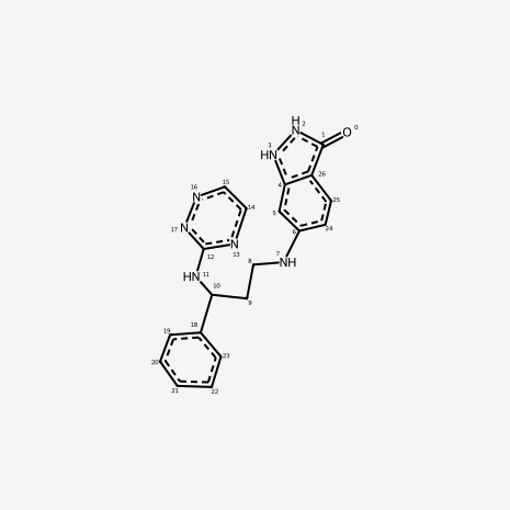 O=c1[nH][nH]c2cc(NCCC(Nc3nccnn3)c3ccccc3)ccc12